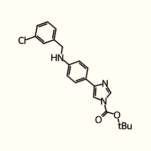 CC(C)(C)OC(=O)n1cnc(-c2ccc(NCc3cccc(Cl)c3)cc2)c1